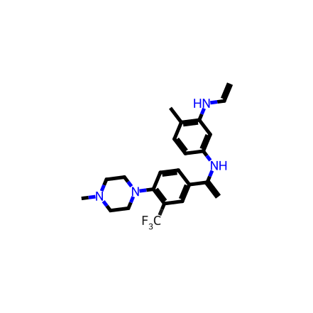 C=CNc1cc(NC(=C)c2ccc(N3CCN(C)CC3)c(C(F)(F)F)c2)ccc1C